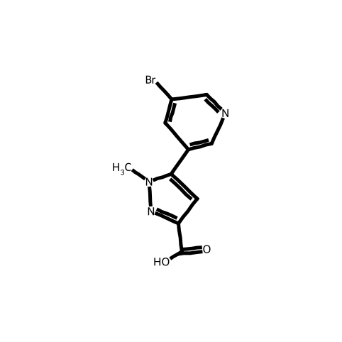 Cn1nc(C(=O)O)cc1-c1cncc(Br)c1